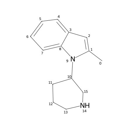 Cc1cc2ccccc2n1C1CCCNC1